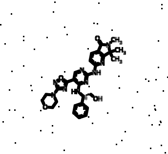 CN1C(=O)c2ccc(Nc3ncc(-c4nc(N5CCOCC5)no4)c(N[C@H](CO)c4ccccc4)n3)nc2C1(C)C